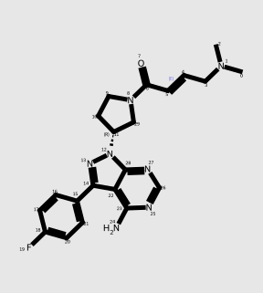 CN(C)C/C=C/C(=O)N1CC[C@@H](n2nc(-c3ccc(F)cc3)c3c(N)ncnc32)C1